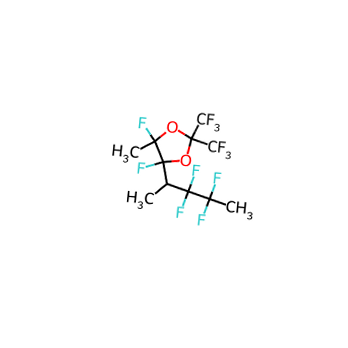 CC(C(F)(F)C(C)(F)F)C1(F)OC(C(F)(F)F)(C(F)(F)F)OC1(C)F